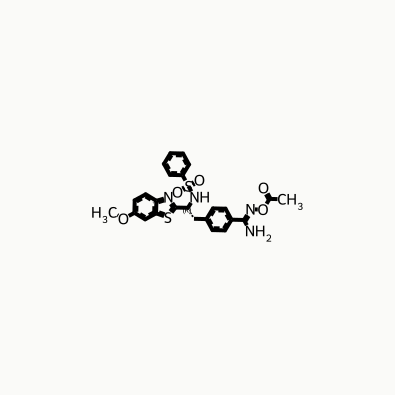 COc1ccc2nc([C@@H](Cc3ccc(C(N)=NOC(C)=O)cc3)NS(=O)(=O)c3ccccc3)sc2c1